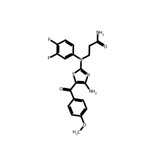 COc1ccc(C(=O)c2sc(N(CCC(N)=O)c3ccc(F)c(F)c3)nc2N)cc1